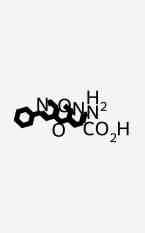 Nc1nc2oc3cnc(C4CCCCC4)cc3c(=O)c2cc1C(=O)O